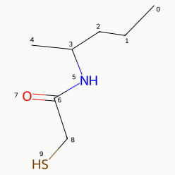 CCCC(C)NC(=O)CS